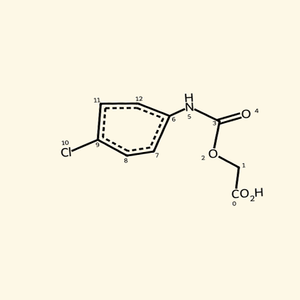 O=C(O)COC(=O)Nc1ccc(Cl)cc1